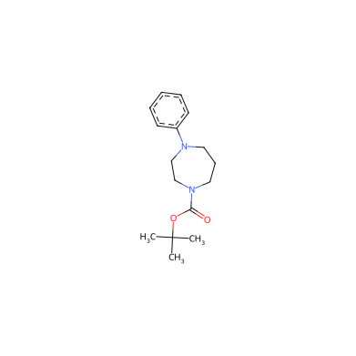 CC(C)(C)OC(=O)N1CCCN(c2ccccc2)CC1